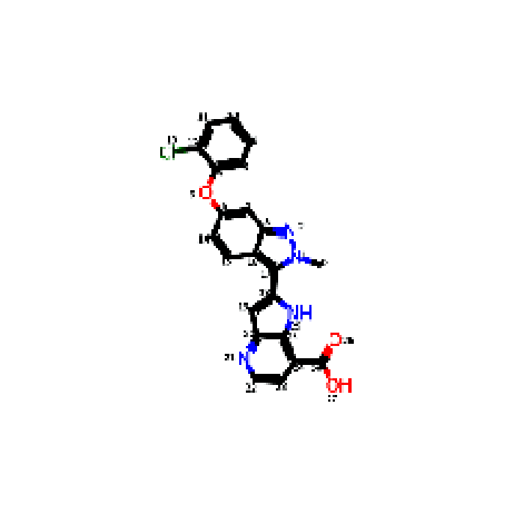 Cn1nc2cc(Oc3ccccc3Cl)ccc2c1-c1cc2nccc(C(=O)O)c2[nH]1